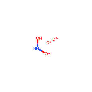 ONO.[O+2].[O+2]